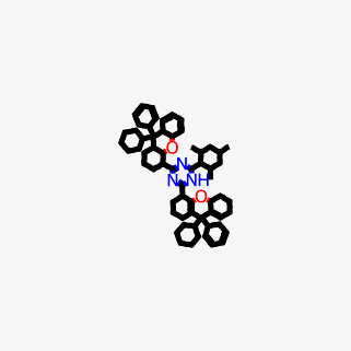 CC1CC(C)C(C2N=C(C3CCCC4C3OC3C=CC=CC3C4(C3C=CC=CC3)C3CCCCC3)N=C(C3CCCC4=C3OC3CCCC=C3C4(C3C=CC=CC3)C3CCCCC3)N2)C(C)C1